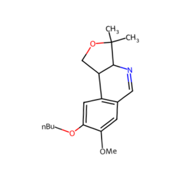 CCCCOc1cc2c(cc1OC)C=NC1C2COC1(C)C